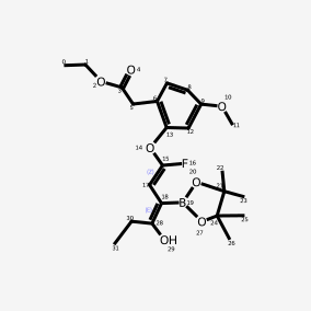 CCOC(=O)Cc1ccc(OC)cc1O/C(F)=C/C(B1OC(C)(C)C(C)(C)O1)=C(/O)CC